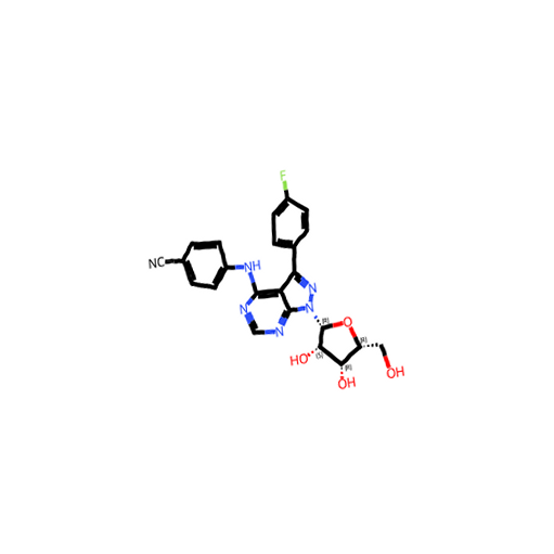 N#Cc1ccc(Nc2ncnc3c2c(-c2ccc(F)cc2)nn3[C@@H]2O[C@H](CO)[C@H](O)[C@@H]2O)cc1